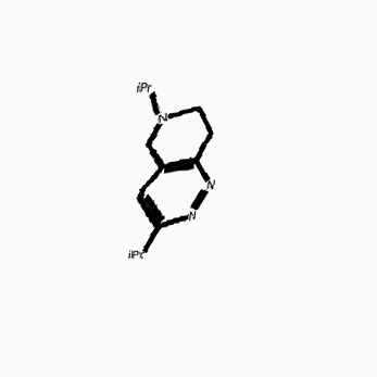 CC(C)c1cc2c(nn1)CCN(C(C)C)C2